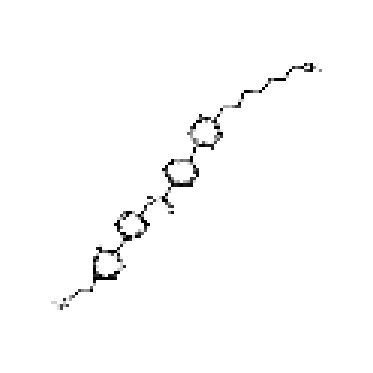 CCCCCCCCc1cnc(-c2ccc(C(=O)Oc3ccc(-c4ncc(CCC)cn4)cc3)cc2)nc1